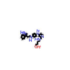 OCCCCNCc1cc(Nc2ccc(NCCc3c[nH]c4ccccc34)cc2)ccn1